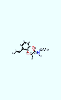 CC=Cc1ccccc1OC(C)C(=O)N(C)OC